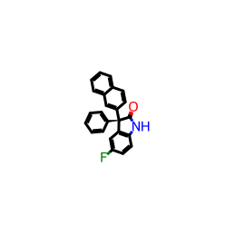 O=C1Nc2ccc(F)cc2[C@]1(c1ccccc1)c1ccc2ccccc2c1